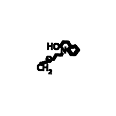 C=CCOCCCN1c2ccccc2CCC1O